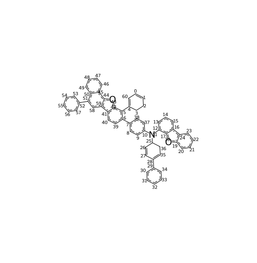 C1=CCCC(c2c(-c3ccc(N(c4cccc5c4oc4ccccc45)C4C=CC(c5ccccc5)=CC4)cc3)ccc3c2oc2c4ccccc4c(-c4ccccc4)cc32)=C1